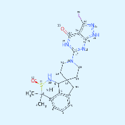 CC1(C)c2cccc3c2[C@@H](N[S@+]1[O-])C1(CCN(c2nc4[nH]nc(I)c4c(=O)[nH]2)CC1)C3